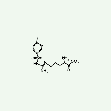 COC(=O)C(N)CCCN=C(N)NS(=O)(=O)c1ccc(C)cc1